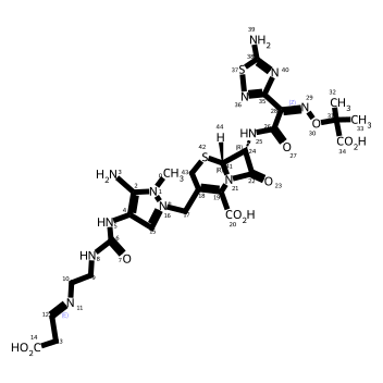 Cn1c(N)c(NC(=O)NCC/N=C/CC(=O)O)c[n+]1CC1=C(C(=O)O)N2C(=O)[C@@H](NC(=O)/C(=N\OC(C)(C)C(=O)O)c3nsc(N)n3)[C@H]2SC1